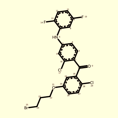 O=C(c1ccc(Nc2cc(F)ccc2F)cc1Cl)c1cc(OCCCBr)ccc1Cl